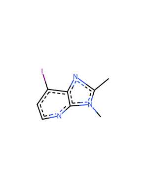 Cc1nc2c(I)ccnc2n1C